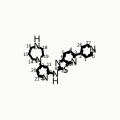 c1cc(-c2ccc3nc(Nc4cc(N5CCCNCC5)ccn4)sc3n2)ccn1